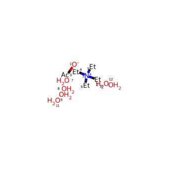 CC(=O)[O-].CC[N+](CC)(CC)CC.O.O.O.O.O.O